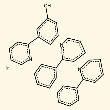 Oc1cccc(-c2ccccn2)c1.[Ir].c1ccc(-c2ccccn2)cc1.c1ccc(-c2ccccn2)cc1